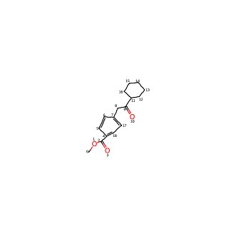 COC(=O)c1ccc(CC(=O)C2CCCCC2)cc1